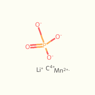 O=P([O-])([O-])[O-].[C+4].[Li+].[Mn+2]